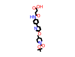 CC(C)(C)OC(=O)N1CCC(COc2ccc(-c3ccc(NC(=O)CCC(=O)O)cc3)nc2)CC1